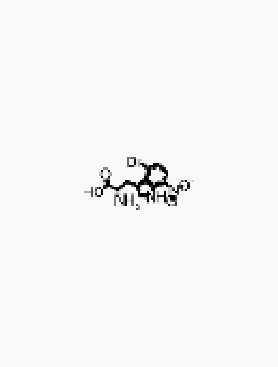 N[C@@H](Cc1c[nH]c2c([N+](=O)[O-])ccc(Br)c12)C(=O)O